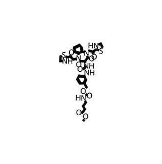 COC(=O)CCCNC(=O)OCc1cccc(NC(=O)NC2C(=O)N(CC(=O)C3NCCS3)c3ccccc3N(CC(=O)C3NCCS3)C2=O)c1